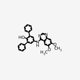 COc1cc2ncnc(Nc3cc(-c4ccccc4)c(O)c(-c4ccccc4)c3)c2cc1OC